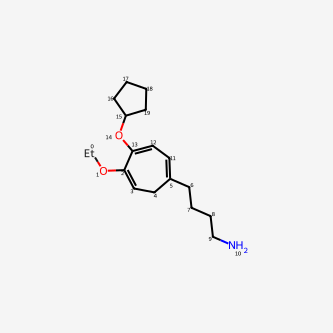 CCOC1=CCC(CCCCN)=CC=C1OC1CCCC1